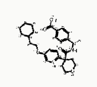 C[C@H](NC(=O)C1(c2ccc(OCCC3CCCCC3)cn2)CCOCC1)c1ccc(C(=O)O)cc1